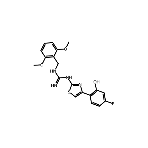 COc1cccc(OC)c1CNC(=N)Nc1nc(-c2ccc(F)cc2O)cs1